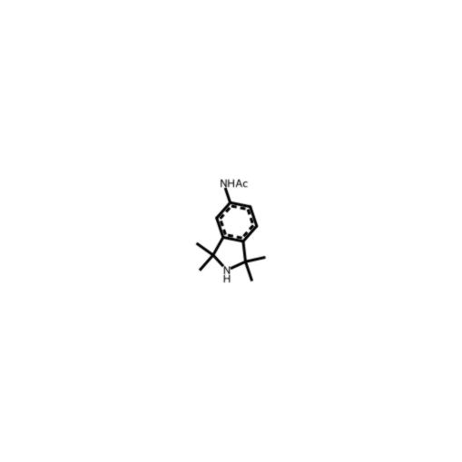 CC(=O)Nc1ccc2c(c1)C(C)(C)NC2(C)C